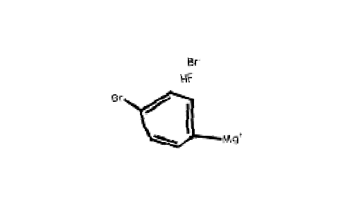 F.[Br-].[Mg+][c]1ccc(Br)cc1